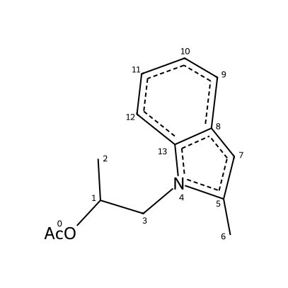 CC(=O)OC(C)Cn1c(C)cc2ccccc21